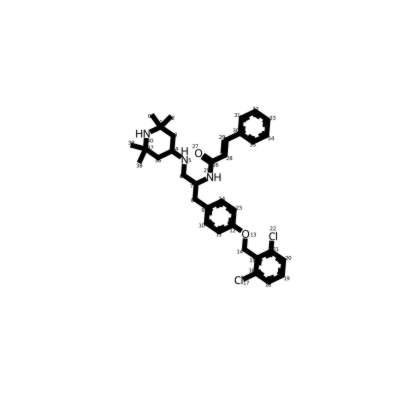 CC1(C)CC(NCC(Cc2ccc(OCc3c(Cl)cccc3Cl)cc2)NC(=O)C=Cc2ccccc2)CC(C)(C)N1